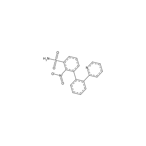 NS(=O)(=O)c1cccc(-c2ccccc2-c2ccccn2)c1[N+](=O)[O-]